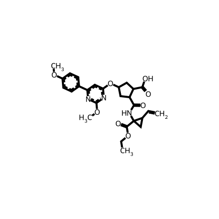 C=CC1CC1(NC(=O)C1CC(Oc2cc(-c3ccc(OC)cc3)nc(OC)n2)CC1C(=O)O)C(=O)OCC